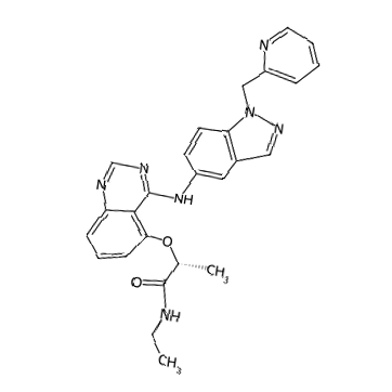 CCNC(=O)[C@@H](C)Oc1cccc2ncnc(Nc3ccc4c(cnn4Cc4ccccn4)c3)c12